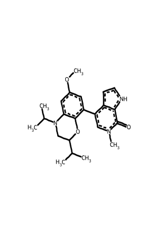 COc1cc(-c2cn(C)c(=O)c3[nH]ccc23)c2c(c1)N(C(C)C)CC(C(C)C)O2